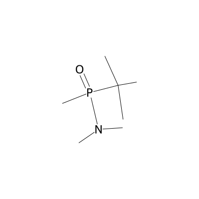 CN(C)P(C)(=O)C(C)(C)C